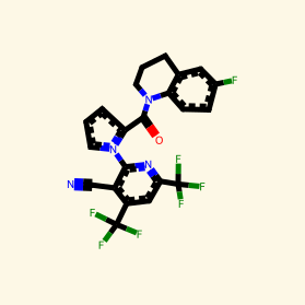 N#Cc1c(C(F)(F)F)cc(C(F)(F)F)nc1-n1cccc1C(=O)N1CCCc2cc(F)ccc21